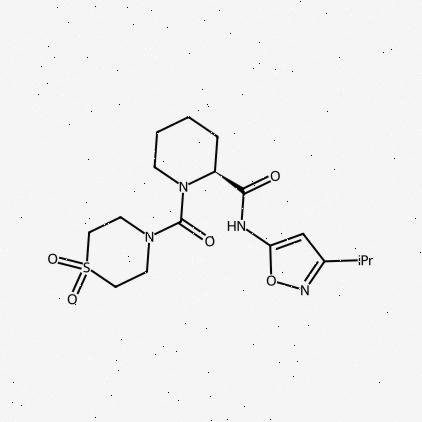 CC(C)c1cc(NC(=O)[C@@H]2CCCCN2C(=O)N2CCS(=O)(=O)CC2)on1